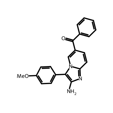 COc1ccc(-c2c(N)nc3ccc(C(=O)c4ccccc4)cn23)cc1